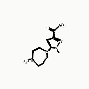 Cn1nc(C(N)=O)[c]c1N1CCC[C@@H](N)CC1